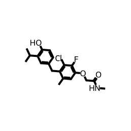 CNC(=O)COc1cc(C)c(Cc2ccc(O)c(C(C)C)c2)c(Cl)c1F